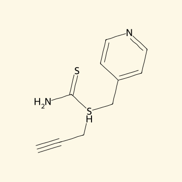 C#CC[SH](Cc1ccncc1)C(N)=S